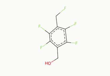 OCc1c(F)c(F)c(CF)c(F)c1F